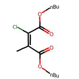 CCCCOC(=O)/C(C)=C(/Cl)C(=O)OCCCC